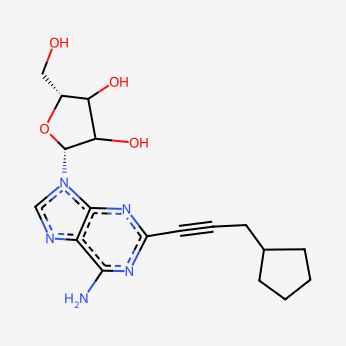 Nc1nc(C#CCC2CCCC2)nc2c1ncn2[C@@H]1O[C@H](CO)C(O)C1O